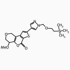 COC1COCc2c1oc(=O)c1sc(-c3cnn(COCC[Si](C)(C)C)c3)cc21